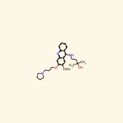 COc1cc2c(NCCC(C)(C)O)c3ccccc3nc2cc1OCCCN1CCCC1